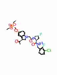 CCOP(=O)(COc1ccc2c(c1)c(C(C)=O)cn2CC(=O)N1C[C@H](F)C[C@H]1C(=O)NCc1cccc(Cl)c1F)OCC